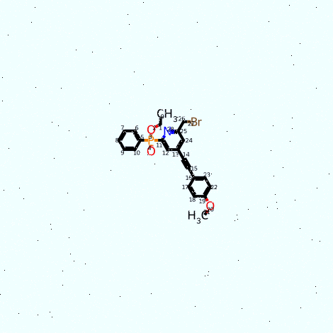 CCOP(=O)(c1ccccc1)c1cc(C#Cc2ccc(OC)cc2)cc(CBr)n1